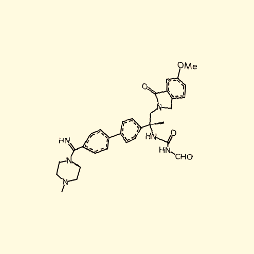 COc1ccc2c(c1)C(=O)N(C[C@](C)(NC(=O)NC=O)c1ccc(-c3ccc(C(=N)N4CCN(C)CC4)cc3)cc1)C2